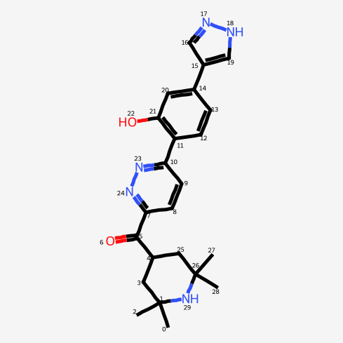 CC1(C)CC(C(=O)c2ccc(-c3ccc(-c4cn[nH]c4)cc3O)nn2)CC(C)(C)N1